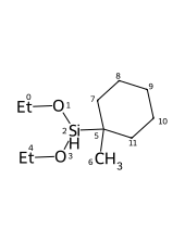 CCO[SiH](OCC)C1(C)CCCCC1